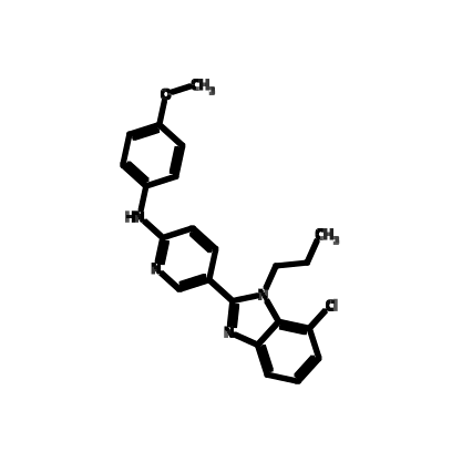 CCCn1c(-c2ccc(Nc3ccc(OC)cc3)nc2)nc2cccc(Cl)c21